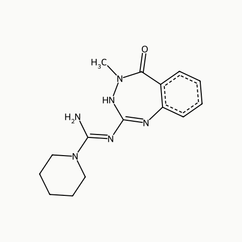 CN1NC(/N=C(\N)N2CCCCC2)=Nc2ccccc2C1=O